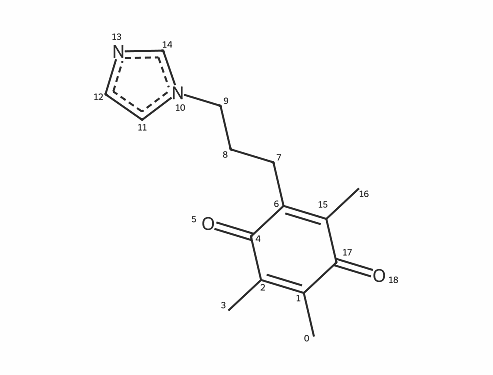 CC1=C(C)C(=O)C(CCCn2ccnc2)=C(C)C1=O